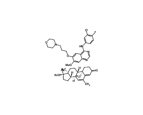 CC(=O)O[C@]1(C(C)=O)CC[C@H]2[C@@H]3C=C(C)C4=CC(=O)CC[C@]4(C)[C@H]3CC[C@@]21C.COc1cc2ncnc(Nc3ccc(F)c(Cl)c3)c2cc1OCCCN1CCOCC1